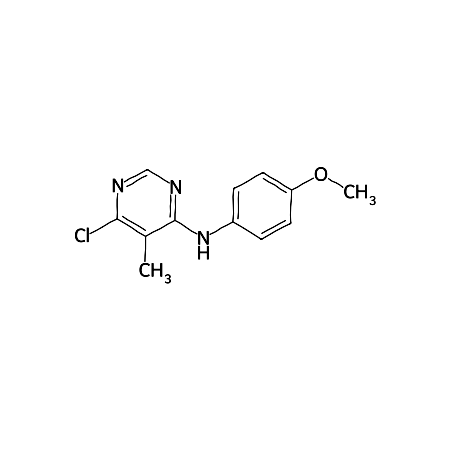 COc1ccc(Nc2ncnc(Cl)c2C)cc1